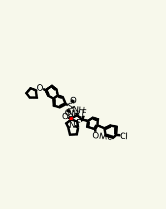 COc1cc(C(F)(F)C(NS(=O)(=O)c2ccc3cc(OC4CCCC4)ccc3c2)C(=O)N2C3CCC2CC(N)C3)ccc1-c1ccc(Cl)cc1